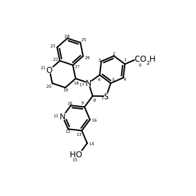 O=C(O)c1ccc2c(c1)SC(c1cncc(CO)c1)N2C1CCOc2ccccc21